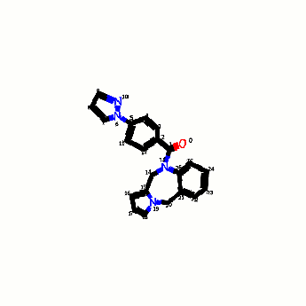 O=C(c1ccc(-n2cccn2)cc1)N1Cc2cccn2Cc2ccccc21